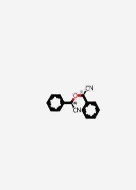 N#C[C@H](O[C@@H](C#N)c1ccccc1)c1ccccc1